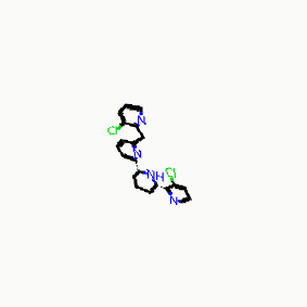 Clc1cccnc1Cc1cccc([C@H]2CCC[C@@H](c3ncccc3Cl)N2)n1